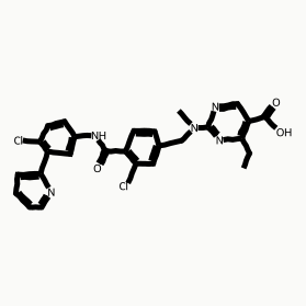 CCc1nc(N(C)Cc2ccc(C(=O)Nc3ccc(Cl)c(-c4ccccn4)c3)c(Cl)c2)ncc1C(=O)O